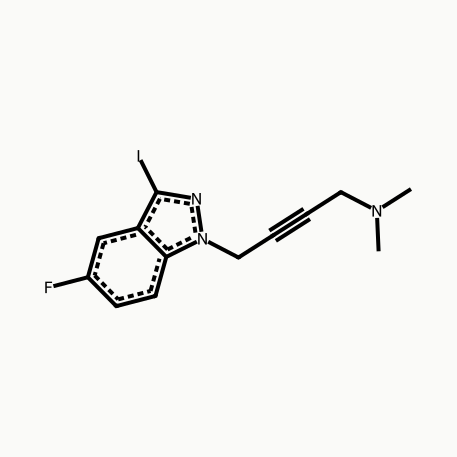 CN(C)CC#CCn1nc(I)c2cc(F)ccc21